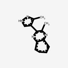 Cc1n[nH]cc1-c1nc2ccccc2nc1C